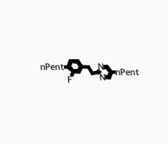 CCCCCc1cnc(CCc2ccc(CCCCC)c(F)c2)nc1